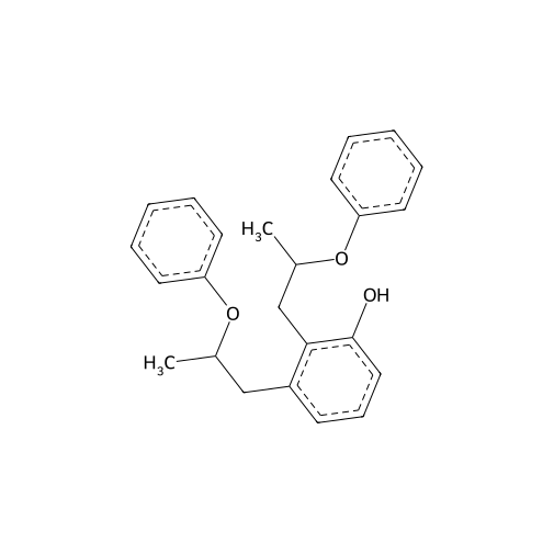 CC(Cc1cccc(O)c1CC(C)Oc1ccccc1)Oc1ccccc1